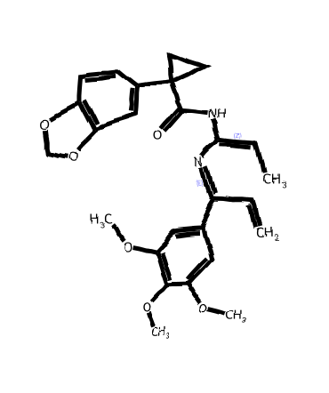 C=C/C(=N\C(=C/C)NC(=O)C1(c2ccc3c(c2)OCO3)CC1)c1cc(OC)c(OC)c(OC)c1